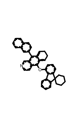 C1=c2c(Oc3cccc4c3-c3ccccc3C43CCCCC3)c3ccncc3c(-c3ccc4ccccc4c3)c2=CCC1